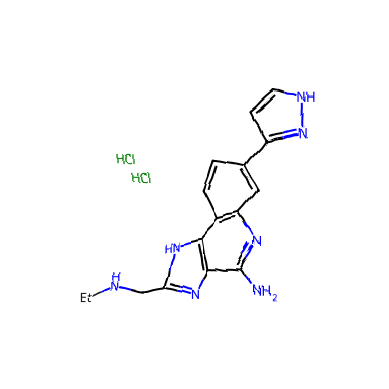 CCNCc1nc2c(N)nc3cc(-c4cc[nH]n4)ccc3c2[nH]1.Cl.Cl